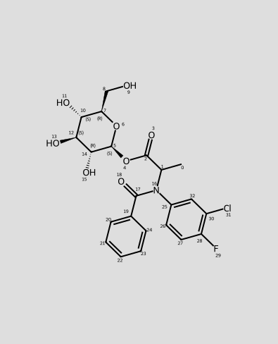 CC(C(=O)O[C@@H]1O[C@H](CO)[C@@H](O)[C@H](O)[C@H]1O)N(C(=O)c1ccccc1)c1ccc(F)c(Cl)c1